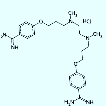 CN(CCCOc1ccc(C(=N)N)cc1)CCN(C)CCCOc1ccc(C(=N)N)cc1.Cl